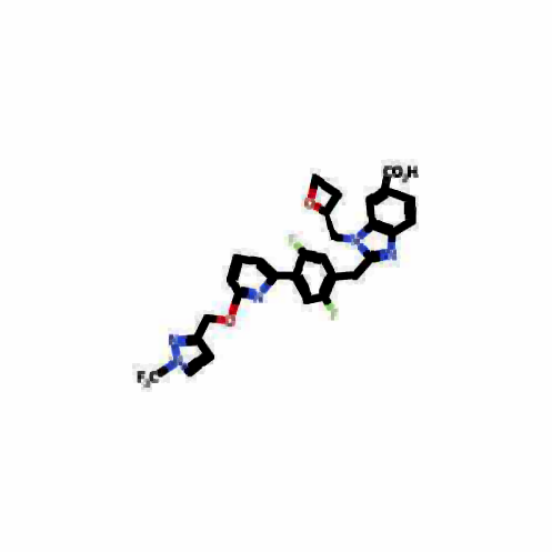 O=C(O)c1ccc2nc(Cc3cc(F)c(-c4cccc(OCc5ccn(C(F)(F)F)n5)n4)cc3F)n(C[C@@H]3CCO3)c2c1